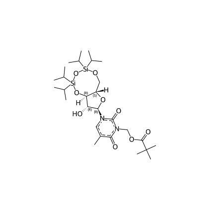 Cc1cn([C@@H]2O[C@H]3CO[Si](C(C)C)(C(C)C)O[Si](C(C)C)(C(C)C)O[C@@H]3[C@H]2O)c(=O)n(COC(=O)C(C)(C)C)c1=O